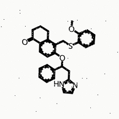 COc1ccccc1SCc1c(OC(Cc2ncc[nH]2)c2ccccc2)ccc2c1CCCC2=O